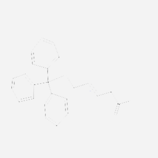 O=C(O)C/C=C/CSC(c1ccccc1)(c1ccccc1)c1ccccc1